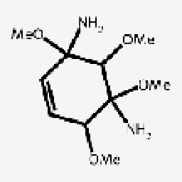 COC1C=CC(N)(OC)C(OC)C1(N)OC